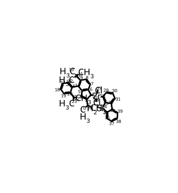 CC(C)C1=Cc2c(ccc(C(C)(C)C)c2-c2ccccc2C(C)C)[CH]1[Zr]([Cl])([Cl])[c]1cccc2c1[SiH2]c1ccccc1-2